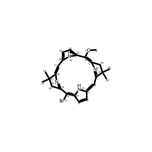 COc1c2nc(cc3ccc([nH]3)c(Br)c3nc(cc4ccc1[nH]4)C(C)(C)C3)C(C)(C)C2